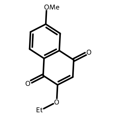 CCOC1=CC(=O)c2cc(OC)ccc2C1=O